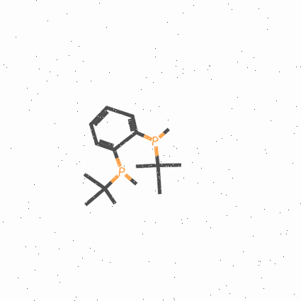 CP(c1ccccc1P(C)C(C)(C)C)C(C)(C)C